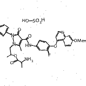 COc1ccc2c(Oc3ccc(NC(=O)c4c(C)n(CC(C)OC(=O)C(C)N)n(-c5ccccc5)c4=O)cc3F)ccnc2c1.O=S(=O)(O)O